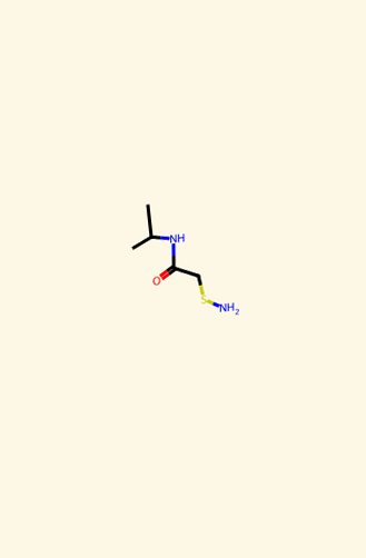 CC(C)NC(=O)CSN